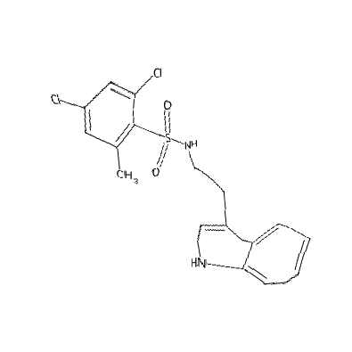 Cc1cc(Cl)cc(Cl)c1S(=O)(=O)NCCc1c[nH]c2ccccc12